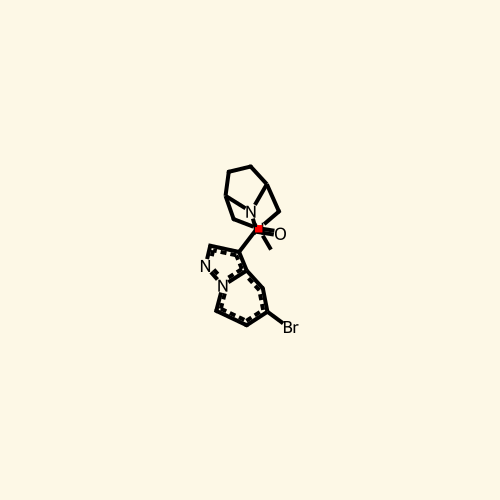 CN1CC2CCC(C1)N2C(=O)c1cnn2ccc(Br)cc12